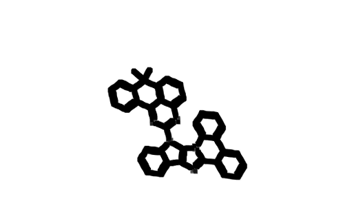 CC1(C)c2ccccc2-c2nc(-n3c4ccccc4c4nc5c6ccccc6c6ccccc6n5c43)nc3cccc1c23